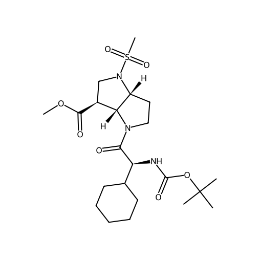 COC(=O)[C@H]1CN(S(C)(=O)=O)[C@@H]2CCN(C(=O)[C@@H](NC(=O)OC(C)(C)C)C3CCCCC3)[C@H]12